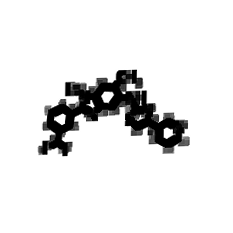 CCn1c(-c2cccc(C(F)F)c2)nc2cc(Nc3nc(-c4cccnc4)cs3)c(C)cc21